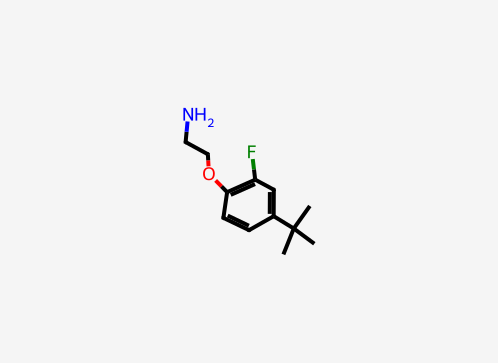 CC(C)(C)c1ccc(OCCN)c(F)c1